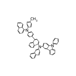 Cc1ccc(N(c2ccc(-c3ccc(N(c4ccc5ccccc5c4)c4ccc5c(c4)c4ccccc4n5-c4ccccc4)c4ccccc34)cc2)c2cccc3ccccc23)cc1